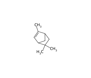 CC1=CC2CC1CC2(C)C